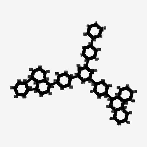 c1cncc(-c2ccc(-c3nc(-c4ccc(-c5ccc6c7c(cccc57)-c5ccccc5-6)cc4)cc(-c4ccc(-c5cc6ccccc6c6ccccc56)cc4)n3)cc2)c1